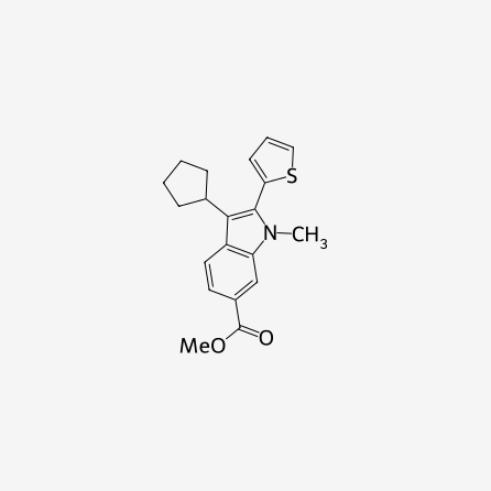 COC(=O)c1ccc2c(C3CCCC3)c(-c3cccs3)n(C)c2c1